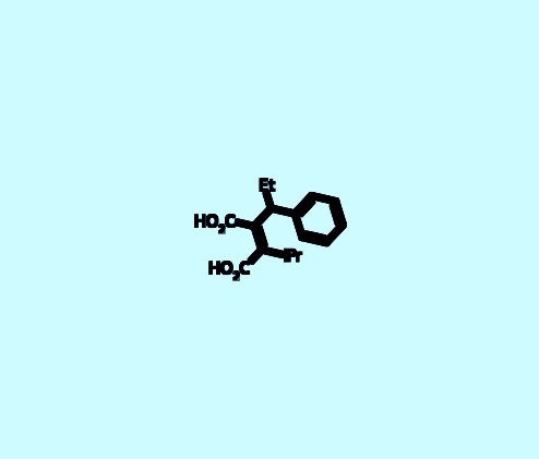 CCC(C(C(=O)O)=C(C(=O)O)C(C)C)c1ccccc1